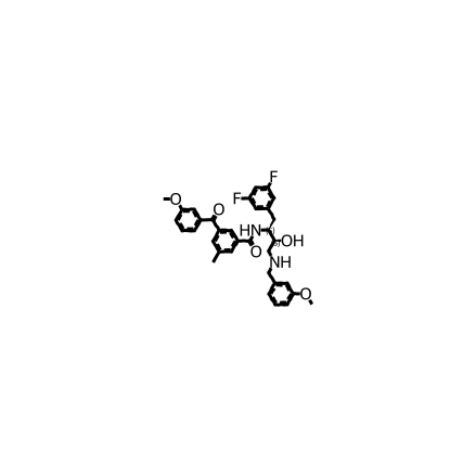 COc1cccc(CNC[C@H](O)[C@H](Cc2cc(F)cc(F)c2)NC(=O)c2cc(C)cc(C(=O)c3cccc(OC)c3)c2)c1